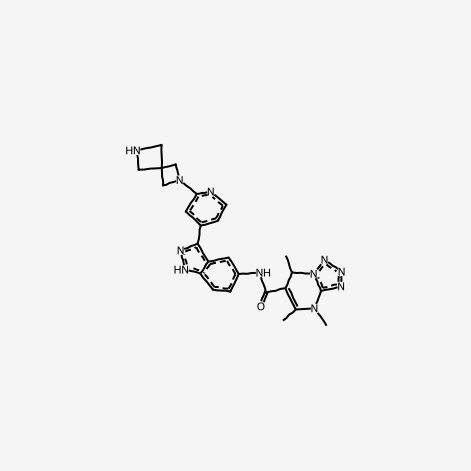 CC1=C(C(=O)Nc2ccc3[nH]nc(-c4ccnc(N5CC6(CNC6)C5)c4)c3c2)C(C)n2nnnc2N1C